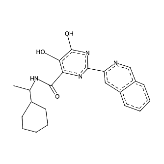 CC(NC(=O)c1nc(-c2cc3ccccc3cn2)nc(O)c1O)C1CCCCC1